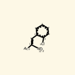 CC(=O)/C(=C/c1ccccc1Cl)[N+](=O)[O-]